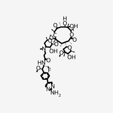 CO[C@H](c1ccc(-c2cnc(N)nc2)cc1)[C@@H](CF)NC(=O)CCN(C)[C@H]1C[C@@H](C)O[C@@H](O[C@@H]2[C@@H](C)C([C@H]3C[C@@](C)(OC)[C@@H](O)[C@H](C)O3)[C@@H](C)C(=O)O[C@H](I)[C@@](C)(O)[C@H](O)[C@@H](C)C(=O)[C@H](C)C[C@@]2(C)OC)[C@@H]1O